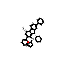 C1=CC[C]([Ti+2](=[C]2CCCCC2)[c]2c(-c3ccccc3)ccc3c2Cc2cc(-c4ccccc4)ccc2-3)=C1.[Cl-].[Cl-]